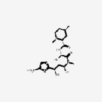 CC[C@H](C)[C@H](NC(=O)[C@H]1C[C@H](C)CCN1C)C(=O)N(C)[C@H](C[C@@H](O)c1nc(C(=O)O)cs1)C(C)C